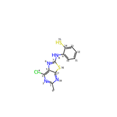 Cc1nc(Cl)c2nc(Nc3ccccc3S)sc2n1